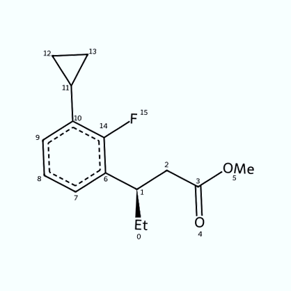 CC[C@H](CC(=O)OC)c1cccc(C2CC2)c1F